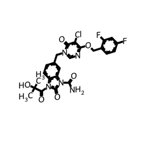 CC(C)(O)C(=O)n1c(=O)n(C(N)=O)c2cc(Cn3cnc(OCc4ccc(F)cc4F)c(Cl)c3=O)ccc21